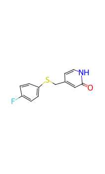 O=c1cc(CSc2ccc(F)cc2)cc[nH]1